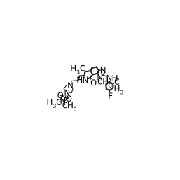 Cc1cc(F)ccc1Nc1nc2ccc3c(C)c(C=CCN4CCN(S(=O)(=O)N(C)C)CC4)[nH]c(=O)c3c2n1C